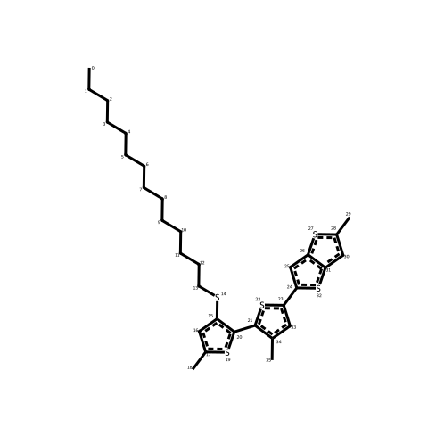 CCCCCCCCCCCCCCSc1cc(C)sc1-c1sc(-c2cc3sc(C)cc3s2)cc1C